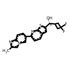 Cc1cn2cc(-c3ccc4cc([C@H](O)C5CC(F)(F)C5)sc4n3)ccc2n1